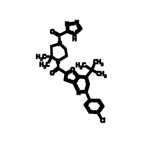 CC(C)(C)c1cc(-c2ccc(Cl)cc2)nc2cc(C(=O)N3CCN(C(=O)c4nnc[nH]4)CC3(C)C)oc12